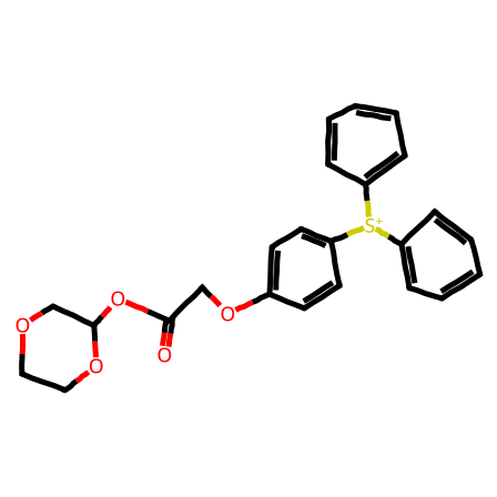 O=C(COc1ccc([S+](c2ccccc2)c2ccccc2)cc1)OC1COCCO1